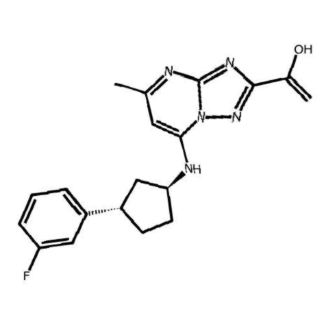 C=C(O)c1nc2nc(C)cc(N[C@H]3CC[C@H](c4cccc(F)c4)C3)n2n1